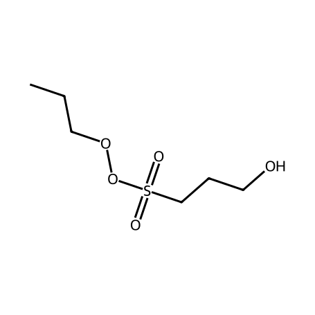 CCCOOS(=O)(=O)CCCO